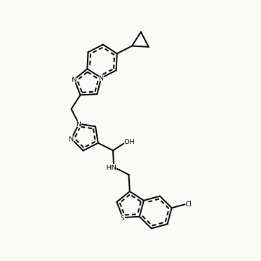 OC(NCc1csc2ccc(Cl)cc12)c1cnn(Cc2cn3cc(C4CC4)ccc3n2)c1